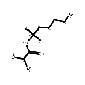 CCC(CC)C(=O)OC(C)(C)CCCCC(C)=O